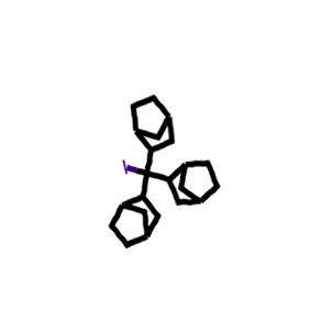 IC(C1CC2CCC1C2)(C1CC2CCC1C2)C1CC2CCC1C2